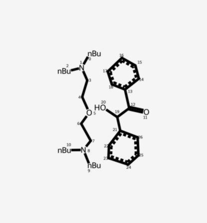 CCCCN(CCCC)CCOCCN(CCCC)CCCC.O=C(c1ccccc1)C(O)c1ccccc1